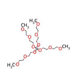 COCCOCCO[Si](OCCOCCOC)(OCCOCCOC)OCCOCCOC